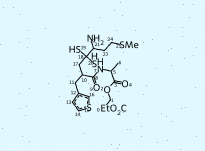 CCOC(=O)COC(=O)C(C)NC(=O)C(Cc1ccsc1)CC(S)(S)C(N)CCSC